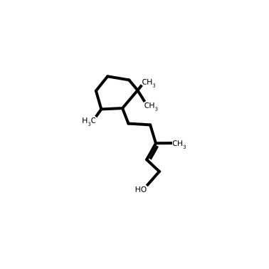 CC(=CCO)CCC1C(C)CCCC1(C)C